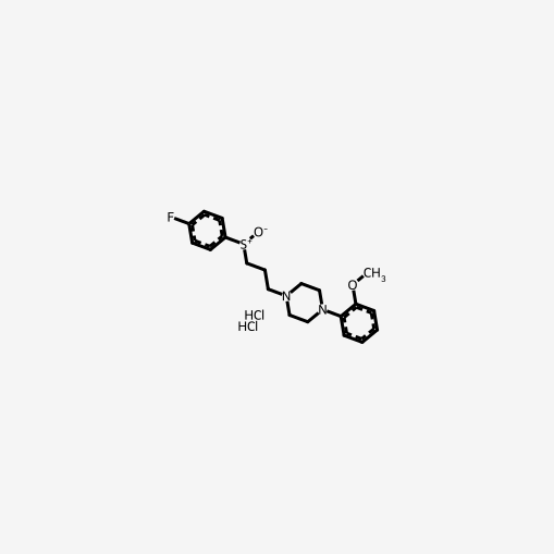 COc1ccccc1N1CCN(CCC[S+]([O-])c2ccc(F)cc2)CC1.Cl.Cl